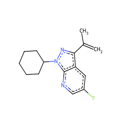 C=C(C)c1nn(C2CCCCC2)c2ncc(F)cc12